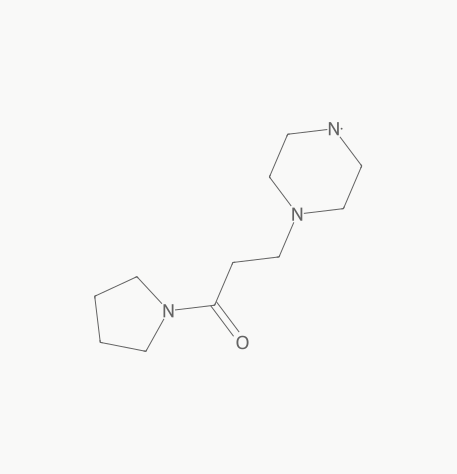 O=C(CCN1CC[N]CC1)N1CCCC1